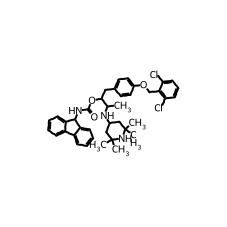 CC(NC1CC(C)(C)NC(C)(C)C1)C(Cc1ccc(OCc2c(Cl)cccc2Cl)cc1)OC(=O)NC1c2ccccc2-c2ccccc21